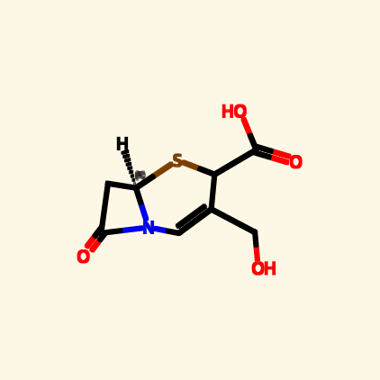 O=C(O)C1S[C@@H]2CC(=O)N2C=C1CO